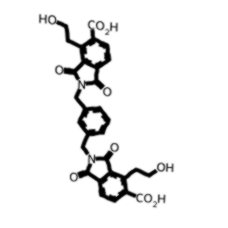 O=C(O)c1ccc2c(c1CCO)C(=O)N(Cc1cccc(CN3C(=O)c4ccc(C(=O)O)c(CCO)c4C3=O)c1)C2=O